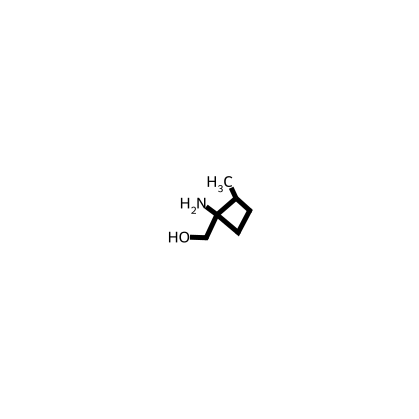 CC1CCC1(N)CO